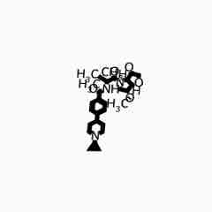 CO[C@H]1CN(C(=O)C(NC(=O)c2ccc(C3CCN(C4CC4)CC3)cc2)C(C)(C)C)[C@@H]2C(=O)CO[C@H]12